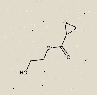 O=C(OCCO)C1CO1